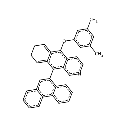 Cc1cc(C)cc(Oc2c3c(c(-c4cc5ccccc5c5ccccc45)c4cnccc24)=CCCC=3)c1